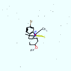 CCO[C@H]1CC[C@]2(CC1)Cc1ccc(Br)cc1C21N=C(C)C(=S)N1